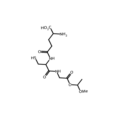 COC(C)OC(=O)CNC(=O)C(CS)NC(=O)CCC(N)C(=O)O